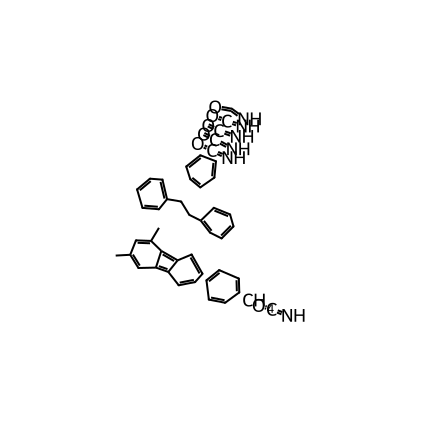 C.Cc1cc(C)c2c(c1)=c1ccccc1=2.N=C=O.N=C=O.N=C=O.N=C=O.N=C=O.N=C=O.c1ccc(CCc2ccccc2)cc1.c1ccccc1.c1ccccc1